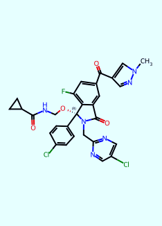 Cn1cc(C(=O)c2cc(F)c3c(c2)C(=O)N(Cc2ncc(Cl)cn2)[C@@]3(OCNC(=O)C2CC2)c2ccc(Cl)cc2)cn1